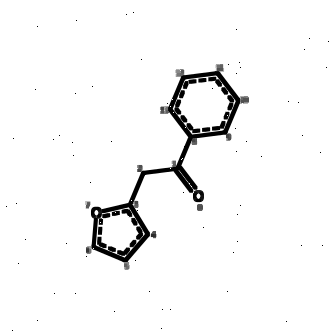 O=C(Cc1ccco1)c1ccccc1